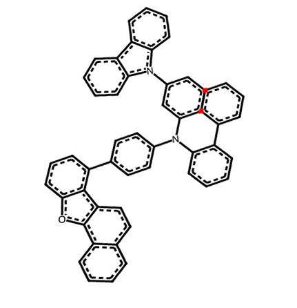 c1ccc(-c2ccccc2N(c2ccc(-c3cccc4oc5c6ccccc6ccc5c34)cc2)c2cccc(-n3c4ccccc4c4ccccc43)c2)cc1